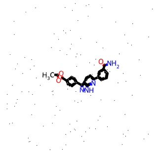 CC1OC(c2ccc(-c3n[nH]c4nc(-c5cccc(C(N)=O)c5)ccc34)cc2)O1